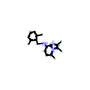 Cc1cccc(C)c1CNc1ccc(C)n2c(C)c(C)nc12